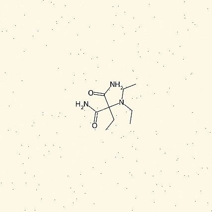 CCN(CC)C(CC)(C(N)=O)C(N)=O